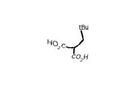 CC(C)(C)C[C](C(=O)O)C(=O)O